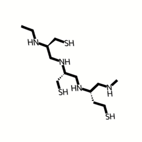 CCN[C@@H](CS)CN[C@@H](CS)CN[C@@H](CCS)CNC